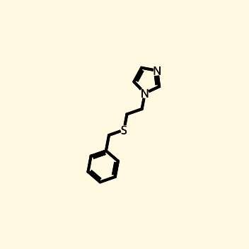 c1ccc(CSCCn2ccnc2)cc1